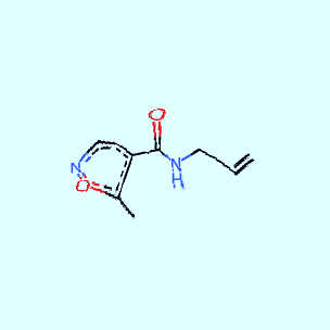 C=CCNC(=O)c1cnoc1C